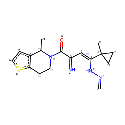 C=NN/C(=C\C(=N)C(=O)N1CCc2sccc2C1C)C1(C)CC1